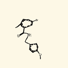 COc1ccc(CNC(=O)c2cc(Br)ccc2C)cc1